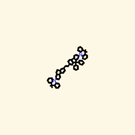 CC1(C)C2=C(CCC=C2)N(c2ccc3c(c2)C(c2ccccc2)(c2ccccc2)c2cc(/C=C/c4ccc5c(ccc6cc(N7c8ccccc8C(C)(C)c8ccccc87)ccc65)c4)ccc2-3)c2ccccc21